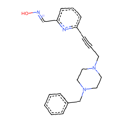 O/N=C/c1cccc(C#CCN2CCN(Cc3ccccc3)CC2)n1